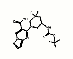 CC(C)(C)OC(=O)N[C@H]1CN(c2nc3ccnn3cc2C(=O)O)CC(F)(F)C1